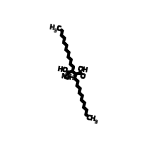 CCCCCCCCCCCCC(C(=O)O)C(CCCCCCCCCCCC)C(=O)O.[NaH]